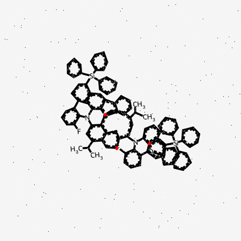 CC(C)c1cccc2c(N(c3c(F)cccc3-c3ccc([Si](c4ccccc4)(c4ccccc4)c4ccccc4)cc3)c3cccc4c3oc3ccccc34)cc(C(C)C)c3ccc(cc32)c(N(c2c(F)cccc2-c2ccc([Si](c3ccccc3)(c3ccccc3)c3ccccc3)cc2)c2cccc3c2oc2ccccc23)c1